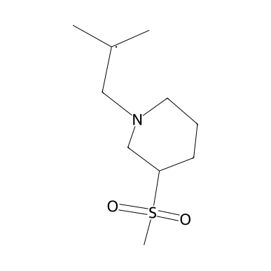 C[C](C)CN1CCCC(S(C)(=O)=O)C1